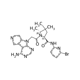 C[C@H]1N(C(=O)Cn2c3ccncc3c3c(N)ncnc32)[C@H](C(=O)Nc2cccc(Br)n2)CC1(C)C